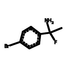 CC(N)(F)c1ccc(Br)cc1